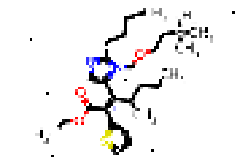 CCCCc1ncc(/C(=C(\C(=O)OCC)c2cccs2)C(C)CCC)n1COCC[Si](C)(C)C